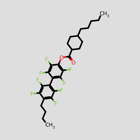 CCCCCC1CCC(C(=O)Oc2c(F)c(F)c(-c3c(F)c(F)c(CCCC)c(F)c3F)c(F)c2F)CC1